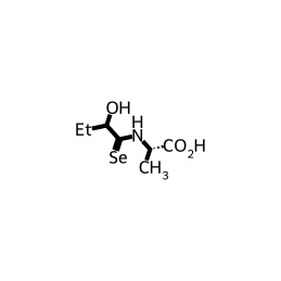 CCC(O)C(=[Se])N[C@@H](C)C(=O)O